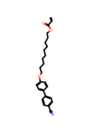 C=CC(=O)OCCCCCCCCCCOc1ccc(-c2ccc(C#N)cc2)cc1